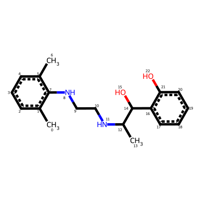 Cc1cccc(C)c1NCCNC(C)C(O)c1ccccc1O